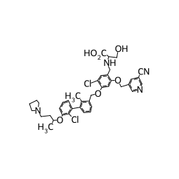 Cc1c(COc2cc(OCc3cncc(C#N)c3)c(CNC(CO)C(=O)O)cc2Cl)cccc1-c1cccc(OC(C)CCN2CCCC2)c1Cl